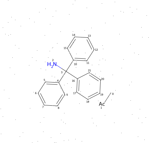 CC(C)=O.NC(c1ccccc1)(c1ccccc1)c1ccccc1